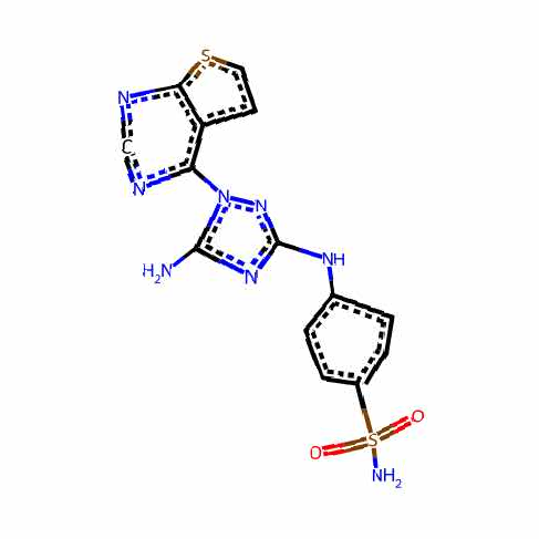 Nc1nc(Nc2ccc(S(N)(=O)=O)cc2)nn1-c1ncnc2sccc12